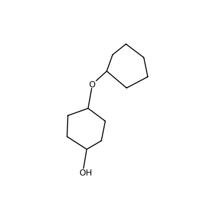 OC1CCC(OC2CCCCC2)CC1